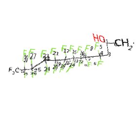 [CH2]C(O)CC(F)(F)C(F)(F)C(F)(F)C(F)(F)C(F)(F)C(F)(F)C(F)(F)C(F)(F)C(F)(F)C(F)(F)F